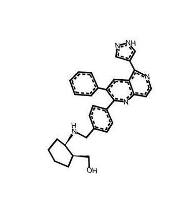 OC[C@H]1CCCC[C@H]1NCc1ccc(-c2nc3ccnc(-c4cn[nH]c4)c3cc2-c2ccccc2)cc1